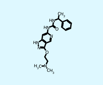 CC(NC(=O)Nc1cc2[nH]nc(OCCN(C)C)c2cn1)c1ccccc1